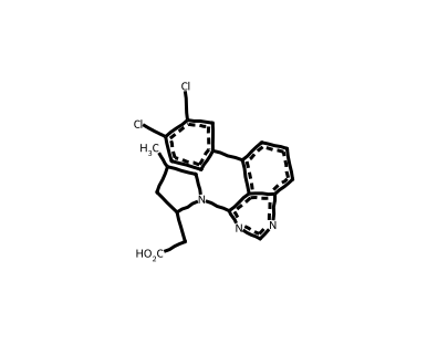 CC1CC(CC(=O)O)N(c2ncnc3cccc(-c4ccc(Cl)c(Cl)c4)c23)C1